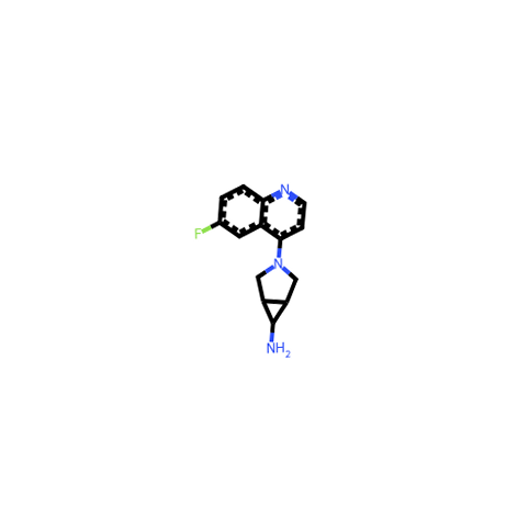 NC1C2CN(c3ccnc4ccc(F)cc34)CC12